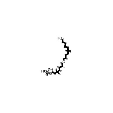 CC(C)(CCCCCO)CCCCOCCCCC(C)(C)CCOP(=O)(O)O